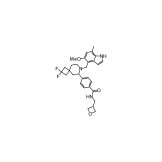 COc1cc(C)c2[nH]ccc2c1CN1CCC2(CC1c1ccc(C(=O)NCC3COC3)cc1)CC(F)(F)C2